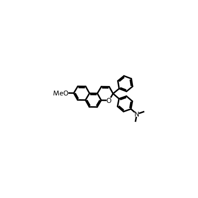 COc1ccc2c3c(ccc2c1)OC(c1ccccc1)(c1ccc(N(C)C)cc1)C=C3